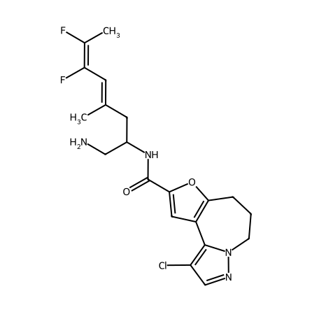 C/C(F)=C(F)\C=C(/C)CC(CN)NC(=O)c1cc2c(o1)CCCn1ncc(Cl)c1-2